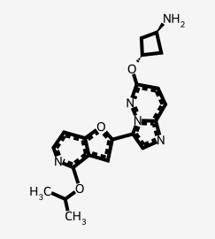 CC(C)Oc1nccc2oc(-c3cnc4ccc(O[C@H]5C[C@H](N)C5)nn34)cc12